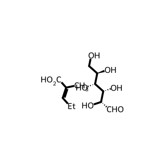 CCC=C(C)C(=O)O.O=C[C@H](O)[C@@H](O)[C@H](O)[C@H](O)CO